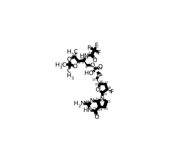 C[C@H]1OC(C)(C)O[C@H]1[C@H](COP(=O)(O)OC[C@@H]1C[C@H](F)C(n2ccc3c(=O)[nH]c(N)nc32)O1)NC(=O)C(F)(F)F